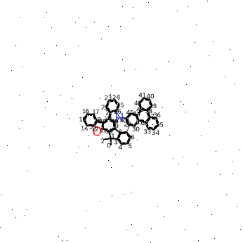 CC1(C)c2ccccc2-c2c1c1oc3ccccc3c1c1c3ccccc3n(-c3ccc4c5ccccc5c5ccccc5c4c3)c21